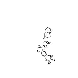 O=C(NCC(O)CN1CCc2ccccc2C1)c1cc2c(cc1F)OC1(CC1)C(=O)N2